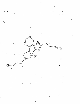 C=CCCc1nnc([N+]2([O-])CN(CCCCl)CC2N2CCOCC2)s1